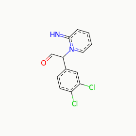 N=c1ccccn1C(C=O)c1ccc(Cl)c(Cl)c1